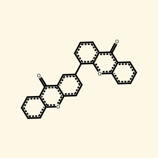 O=c1c2ccccc2oc2ccc(-c3cccc4c(=O)c5ccccc5oc34)cc12